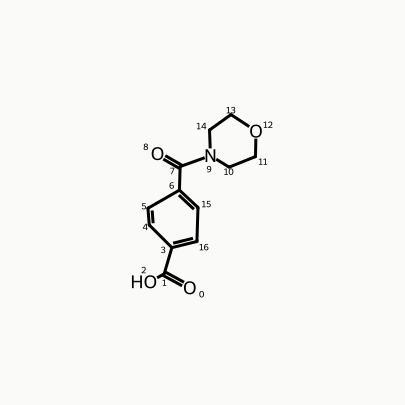 O=C(O)c1ccc(C(=O)N2CCOCC2)cc1